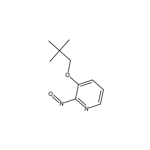 CC(C)(C)COc1cccnc1N=O